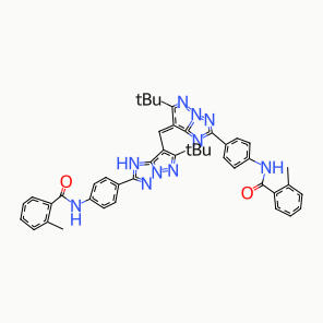 Cc1ccccc1C(=O)Nc1ccc(-c2nc3/c(=C\c4c(C(C)(C)C)nn5nc(-c6ccc(NC(=O)c7ccccc7C)cc6)[nH]c45)c(C(C)(C)C)nn3n2)cc1